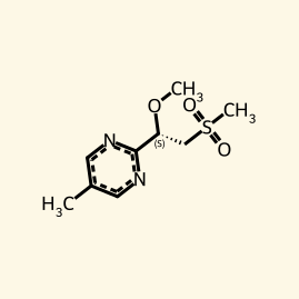 CO[C@H](CS(C)(=O)=O)c1ncc(C)cn1